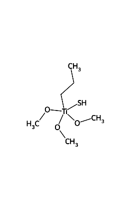 CC[CH2][Ti]([SH])([O]C)([O]C)[O]C